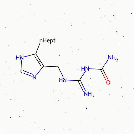 CCCCCCCc1[nH]cnc1CNC(=N)NC(N)=O